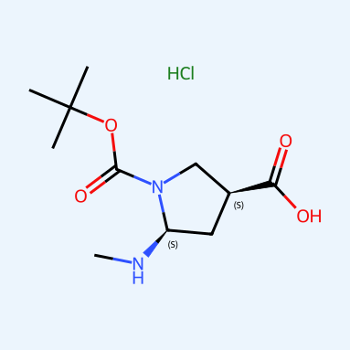 CN[C@@H]1C[C@H](C(=O)O)CN1C(=O)OC(C)(C)C.Cl